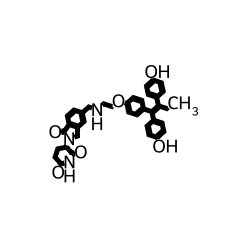 CCC(=C(c1ccc(O)cc1)c1ccc(OCCNCc2ccc3c(c2)CN(C2CCC(=O)NC2=O)C3=O)cc1)c1ccc(O)cc1